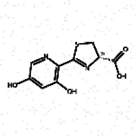 O=C(O)[C@H]1CSC(c2ncc(O)cc2O)=N1